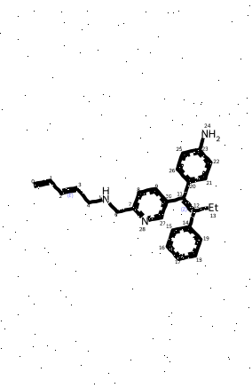 C=C/C=C/CNCc1ccc(/C(=C(/CC)c2ccccc2)c2ccc(N)cc2)cn1